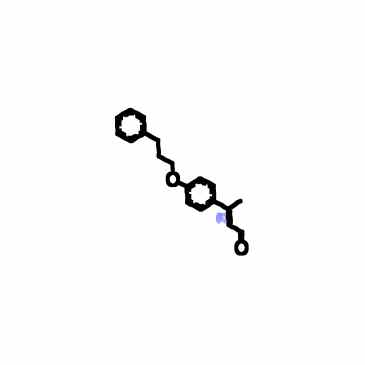 C/C(=C\C=O)c1ccc(OCCCc2ccccc2)cc1